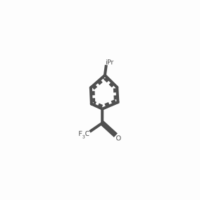 CC(C)c1ccc(C(=O)C(F)(F)F)cc1